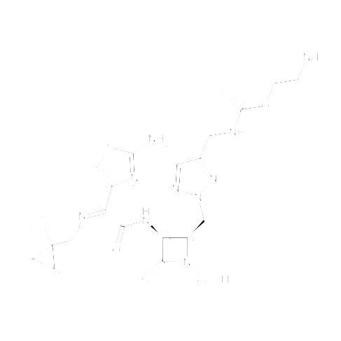 NCCOC(=O)NCc1cnn(C[C@@H]2[C@H](NC(=O)/C(=N\OC3(C(=O)O)CC3)c3csc(N)n3)C(=O)N2S(=O)(=O)O)n1